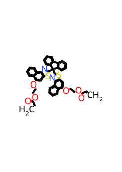 C=CC(=O)OCCOc1cc2sc(C3(c4nc5c(cc(OCCOC(=O)C=C)c6ccccc65)s4)c4ccccc4-c4ccccc43)nc2c2ccccc12